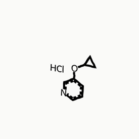 Cl.c1cncc(OC2CC2)c1